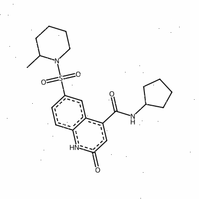 CC1CCCCN1S(=O)(=O)c1ccc2[nH]c(=O)cc(C(=O)NC3CCCC3)c2c1